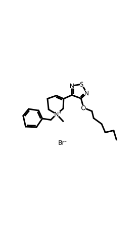 CCCCCCOc1nsnc1C1=CCC[N+](C)(Cc2ccccc2)C1.[Br-]